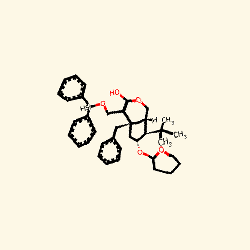 CC(C)(C)[C@@H]1[C@H]2COC(O)C(CO[SiH](c3ccccc3)c3ccccc3)[C@@]2(Cc2ccccc2)C[C@H]1OC1CCCCO1